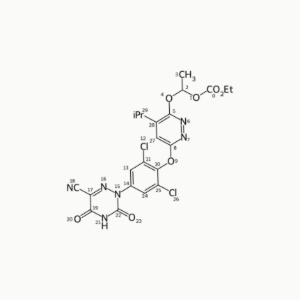 CCOC(=O)OC(C)Oc1nnc(Oc2c(Cl)cc(-n3nc(C#N)c(=O)[nH]c3=O)cc2Cl)cc1C(C)C